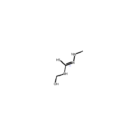 CN/N=C(\S)NCO